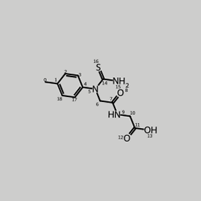 Cc1ccc(N(CC(=O)NCC(=O)O)C(N)=S)cc1